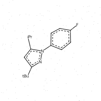 CC(C)c1cc(C(C)(C)C)nn1-c1ccc(F)cc1